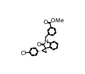 COC(=O)c1cccc(CN2C(=O)[C@]3(C[C@@H]3c3ccc(Cl)cc3)c3ccccc32)c1